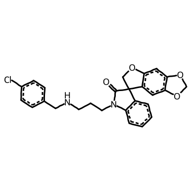 O=C1N(CCCNCc2ccc(Cl)cc2)c2ccccc2C12COc1cc3c(cc12)OCO3